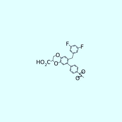 CS(=O)(=O)c1ccc(-c2cc3c(cc2Cc2cc(F)cc(F)c2)OCC(C(=O)O)O3)cc1